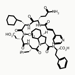 CC(C)C[C@H](NC(=O)[C@H](CC(=O)O)N(C)C(=O)[C@H](CC1CCCCC1)NC(=O)[C@H](CCC(N)=O)NC(=O)/C=C/c1cccnc1)C(=O)N1C2CCCC[C@H]2C[C@H]1C(=O)N[C@@H](Cc1ccccc1)C(=O)O